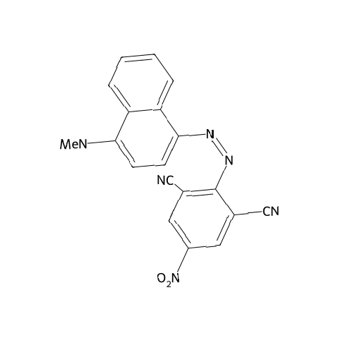 CNc1ccc(/N=N\c2c(C#N)cc([N+](=O)[O-])cc2C#N)c2ccccc12